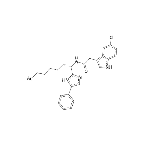 CC(=O)CCCCC[C@H](NC(=O)Cc1c[nH]c2ccc(Cl)cc12)c1ncc(-c2ccccc2)[nH]1